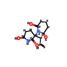 C=CCC1(N2C(=O)CCCC2=O)CCC(=O)[N]C1=O